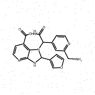 NCc1cc(C(C(N)=O)N2c3c(C(=O)O)ccnc3NC2c2ccoc2)ccn1